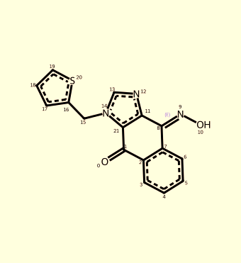 O=C1c2ccccc2/C(=N\O)c2ncn(Cc3cccs3)c21